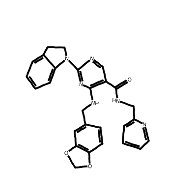 O=C(NCc1ccccn1)c1cnc(N2CCc3ccccc32)nc1NCc1ccc2c(c1)OCO2